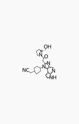 N#CCC1CCC(n2c(CC(=O)N3CCC[C@@H]3CO)nc3cnc4[nH]ccc4c32)CC1